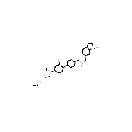 CC(=O)NC[C@H]1CN(c2ccc(-c3ccc(CN(C)C(=O)c4ccc5cc[nH]c5c4)cc3)c(F)c2)C(=O)O1